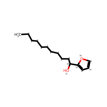 CCCCCCCCCCC(O)c1ccco1